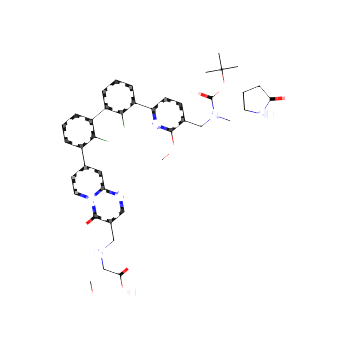 COc1nc(-c2cccc(-c3cccc(-c4ccn5c(=O)c(CN[C@@H](CO)C(=O)O)cnc5c4)c3Cl)c2Cl)ccc1CN(C[C@@H]1CCC(=O)N1)C(=O)OC(C)(C)C